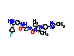 Cc1cnc(-c2ccc(N3C[C@@H](C)N(C(=O)CN4CCC(C(=O)Nc5ccc6[nH]nc(-c7ccc(F)cc7)c6c5)C4)C[C@@H]3C)cc2)nc1